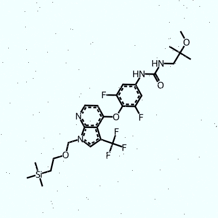 COC(C)(C)CNC(=O)Nc1cc(F)c(Oc2ccnc3c2c(C(F)(F)F)cn3COCC[Si](C)(C)C)c(F)c1